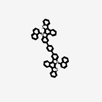 c1ccc2c(-n3c4ccc(-c5ccc(-c6ccc7c(c6)c6c8ccccc8c8c9ccccc9sc8c6n7-c6cccc7ccccc67)cc5)cc4c4c5ccccc5c5c6ccccc6sc5c43)cccc2c1